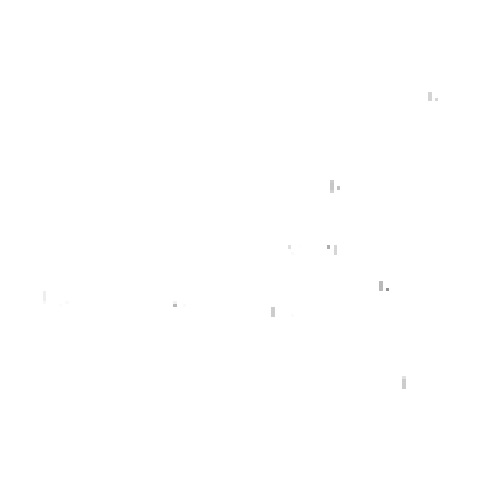 COc1cccc(/C=C/C(=O)Nc2cc(Cl)cnc2Nc2ccc(C#N)cn2)c1OC1CCCC1